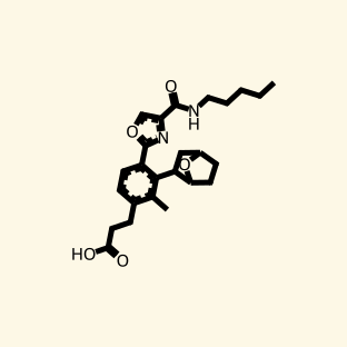 CCCCCNC(=O)c1coc(-c2ccc(CCC(=O)O)c(C)c2C2CC3CCC2O3)n1